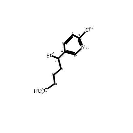 CCC(CCCC(=O)O)c1ccc(Cl)nc1